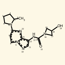 CC1CCCN1c1ccn2ncc(NC(=O)N3CC(O)C3)c2n1